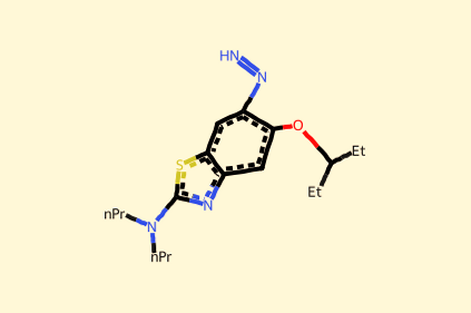 CCCN(CCC)c1nc2cc(OC(CC)CC)c(N=N)cc2s1